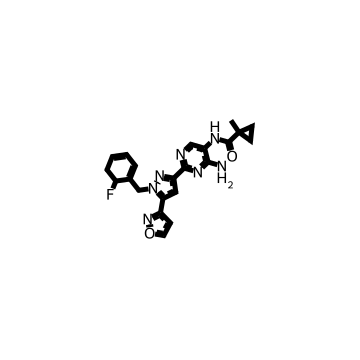 CC1(C(=O)Nc2cnc(-c3cc(-c4ccon4)n(CC4=CC=CCC4F)n3)nc2N)CC1